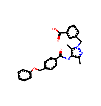 Cc1nn(Cc2cccc(C(=O)O)c2)c(C)c1NC(=O)c1ccc(COc2ccccc2)cc1